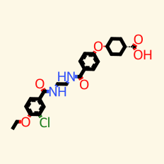 CCOc1ccc(C(=O)NCCNC(=O)c2ccc(O[C@H]3CC[C@@H](C(=O)O)CC3)cc2)cc1Cl